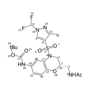 CC(=O)NC[C@H]1CN(S(=O)(=O)c2cn(C(F)F)nc2C)c2cc(NC(=O)OC(C)(C)C)ccc2O1